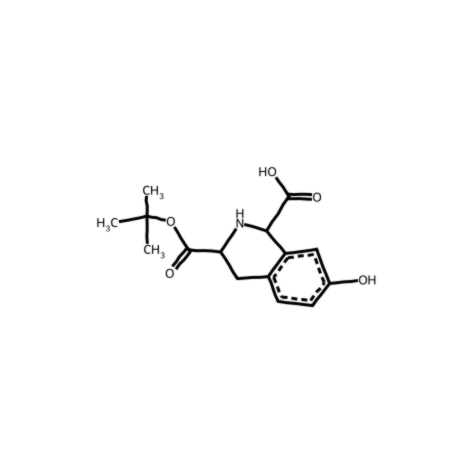 CC(C)(C)OC(=O)C1Cc2ccc(O)cc2C(C(=O)O)N1